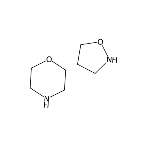 C1CNOC1.C1COCCN1